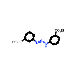 CCOC(=O)c1cccc(/N=N/Nc2cccc(C(=O)OCC)c2)c1